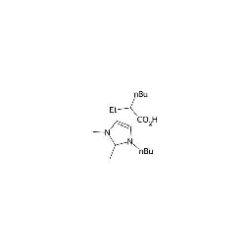 CCCCC(CC)C(=O)O.CCCCN1C=CN(C)C1C